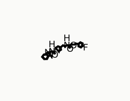 Cn1c(NC(=O)N2CCC(CCNC(=O)COCc3ccc(F)cc3)CC2)nc2ccccc21